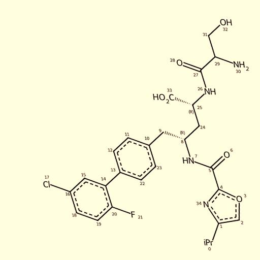 CC(C)c1coc(C(=O)N[C@H](Cc2ccc(-c3cc(Cl)ccc3F)cc2)C[C@@H](NC(=O)C(N)CO)C(=O)O)n1